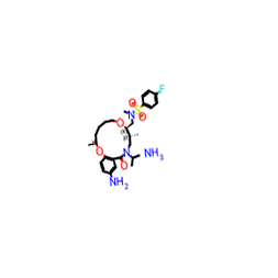 CC(C)N1C[C@@H](C)[C@H](CN(C)S(=O)(=O)c2ccc(F)cc2)OCCCC[C@H](C)Oc2ccc(N)cc2C1=O.N